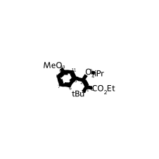 CCOC(=O)C(=C(OC(C)C)c1cccc(OC)c1)C(C)(C)C